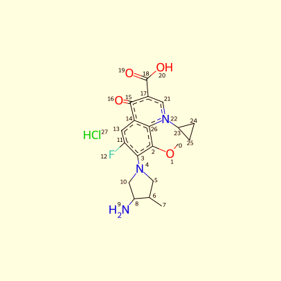 COc1c(N2CC(C)C(N)C2)c(F)cc2c(=O)c(C(=O)O)cn(C3CC3)c12.Cl